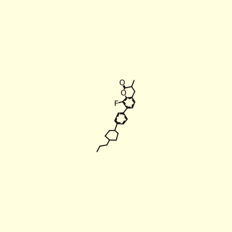 CCCC1CCC(c2ccc(-c3ccc4c(c3F)OC(=O)C(C)C4)cc2)CC1